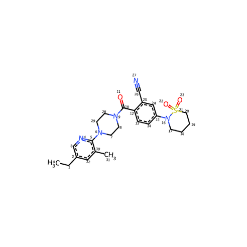 CCc1cnc(N2CCN(C(=O)c3ccc(N4CCCCS4(=O)=O)cc3C#N)CC2)c(C)c1